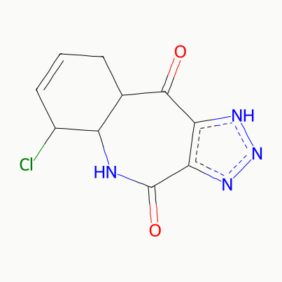 O=C1NC2C(Cl)C=CCC2C(=O)c2[nH]nnc21